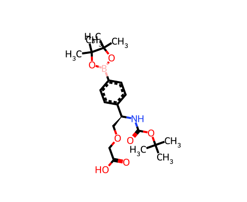 CC(C)(C)OC(=O)N[C@@H](COCC(=O)O)c1ccc(B2OC(C)(C)C(C)(C)O2)cc1